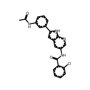 CC(=O)Nc1cccc(-c2cc3cc(NC(=O)c4ccccc4Cl)cnc3[nH]2)c1